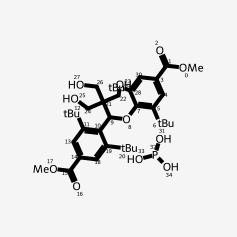 COC(=O)c1cc(C(C)(C)C)c(OC(c2c(C(C)(C)C)cc(C(=O)OC)cc2C(C)(C)C)C(CO)(CO)CO)c(C(C)(C)C)c1.OP(O)O